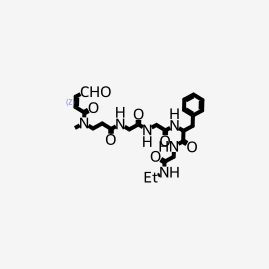 CCNC(=O)CNC(=O)C(Cc1ccccc1)NC(=O)CNC(=O)CNC(=O)CCN(C)C(=O)/C=C\C=O